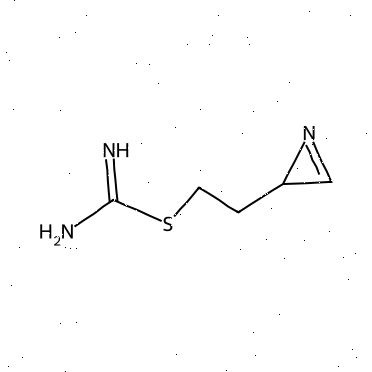 N=C(N)SCCC1C=N1